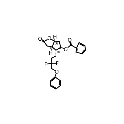 O=C1C[C@@H]2[C@@H](CCC(F)(F)COc3ccccc3)[C@H](OC(=O)c3ccccc3)C[C@@H]2O1